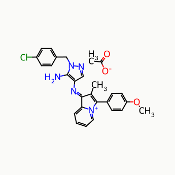 CC(=O)[O-].COc1ccc(C2=C(C)/C(=N\c3cnn(Cc4ccc(Cl)cc4)c3N)c3cccc[n+]32)cc1